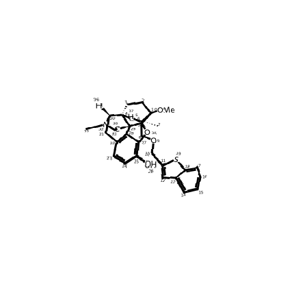 COC12CC[C@@]3(C[C@]1(C)COCc1cc4ccccc4s1)[C@H]1Cc4ccc(O)c5c4[C@@]3(CCN1C)[C@H]2O5